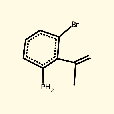 C=C(C)c1c(P)cccc1Br